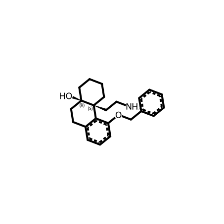 NCC[C@]12CCCC[C@@]1(O)CCc1cccc(OCc3ccccc3)c12